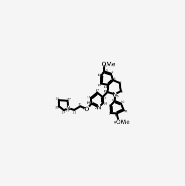 COc1ccc(N2CCc3cc(OC)ccc3C2c2ccc(OCCN3CCCC3)nc2)cc1